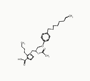 CCCCCCCCc1ccc(OCC(Cn2ccc(C(=O)O)c2CCCC)OC(C)=O)cc1